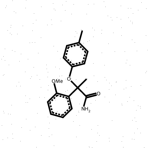 COc1ccccc1C(C)(Oc1ccc(C)cc1)C(N)=O